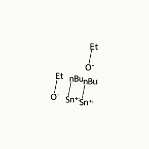 CCC[CH2][Sn+].CCC[CH2][Sn+].CC[O-].CC[O-]